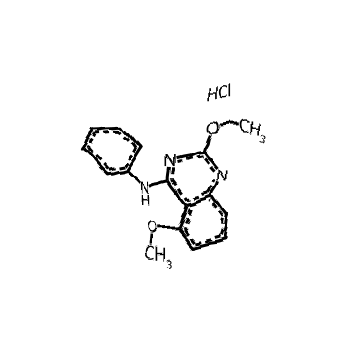 COc1nc(Nc2ccccc2)c2c(OC)cccc2n1.Cl